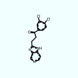 O=C(CCc1nc2cnccc2[nH]1)c1ccc(Cl)c(Cl)c1